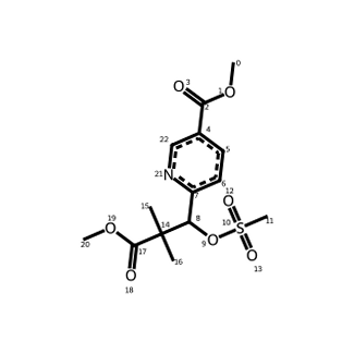 COC(=O)c1ccc(C(OS(C)(=O)=O)C(C)(C)C(=O)OC)nc1